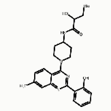 Cc1ccc2c(N3CCC(NC(=O)C(O)CC(C)(C)C)CC3)nc(-c3ccccc3O)nc2c1